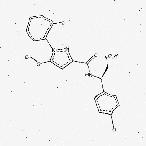 CCOc1cc(C(=O)N[C@@H](CC(=O)O)c2ccc(Cl)cc2)nn1-c1ccccc1Cl